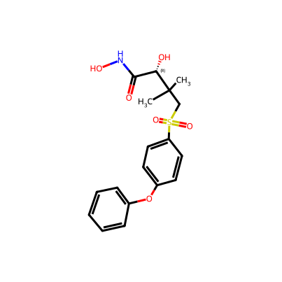 CC(C)(CS(=O)(=O)c1ccc(Oc2ccccc2)cc1)[C@@H](O)C(=O)NO